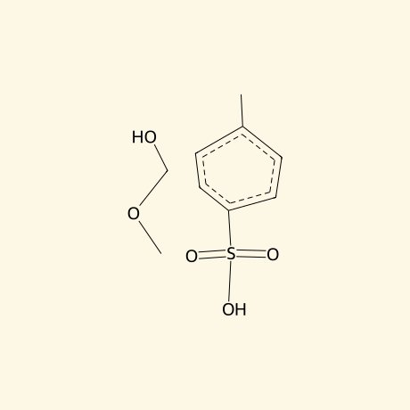 COCO.Cc1ccc(S(=O)(=O)O)cc1